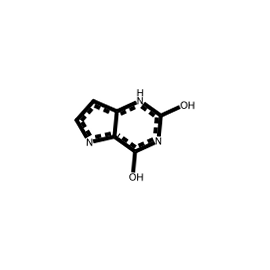 Oc1nc(O)c2nccc-2[nH]1